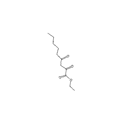 CCCCCC(=O)CC(=O)C(=O)OCC